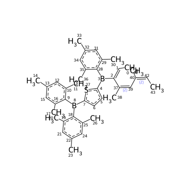 CC=C(B(c1ccc(B(c2c(C)cc(C)cc2C)c2c(C)cc(C)cc2C)s1)c1c(C)cc(C)cc1C)/C(C)=C\C(C)=C/C